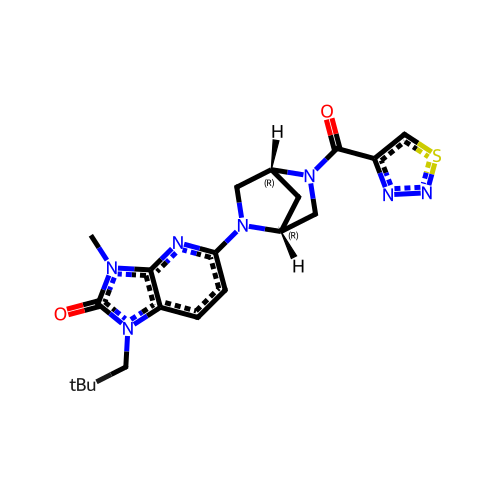 Cn1c(=O)n(CC(C)(C)C)c2ccc(N3C[C@H]4C[C@@H]3CN4C(=O)c3csnn3)nc21